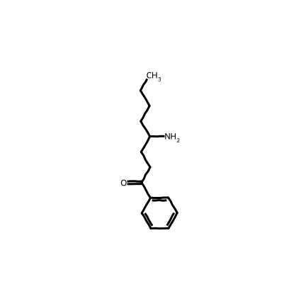 CCCCC(N)CCC(=O)c1ccccc1